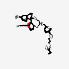 C=CC(=O)OCCCOc1ccc(COOC2COc3ccc4cc(Br)ccc4c3-c3c(ccc4cc(Br)ccc34)OC2)cc1